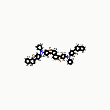 c1ccc(N(c2ccc3c(c2)sc2c4ccccc4ccc32)c2ccc3c(c2)sc2ccc4c(ccc5sc6cc(N(c7ccccc7)c7ccc8c(c7)sc7c9ccccc9ccc87)ccc6c54)c23)cc1